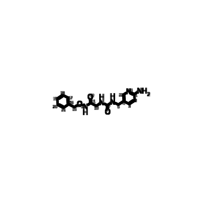 Nc1ccc(CNC(=O)NCC(=O)NOCc2ccccc2)cn1